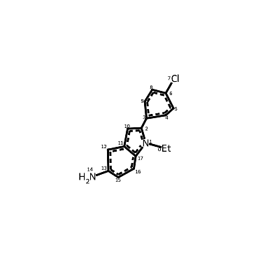 CCn1c(-c2ccc(Cl)cc2)cc2cc(N)ccc21